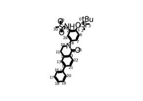 CC(C)(C)[Si](C)(C)Oc1ccc(N2CCc3cc(-c4ccccc4)ccc3C2=O)cc1NS(C)(=O)=O